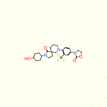 O=C1OCCN1c1ccc(N2CCC[C@]3(CCN(C4CCC(O)CC4)C3=O)C2)c(C(F)(F)F)c1